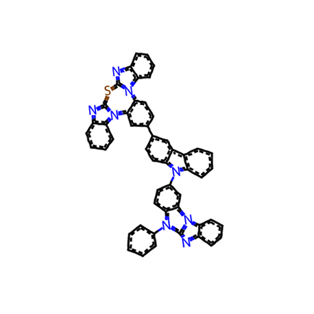 c1ccc(-n2c3ccc(-n4c5ccccc5c5cc(-c6ccc7c(c6)n6c(nc8ccccc86)sc6nc8ccccc8n67)ccc54)cc3n3c4ccccc4nc23)cc1